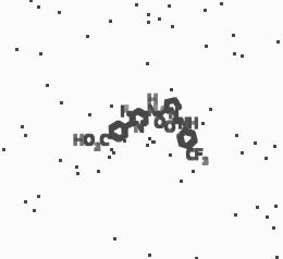 O=C(O)c1ccc(-c2ncc(NC(=O)[C@H]3CCCN3C(=O)Nc3ccc(C(F)(F)F)cc3)cc2F)cc1